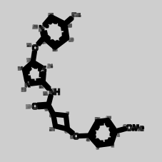 COc1ccc(OC2CC(C(=O)Nc3ncc(Oc4ccc(F)cn4)s3)C2)cc1